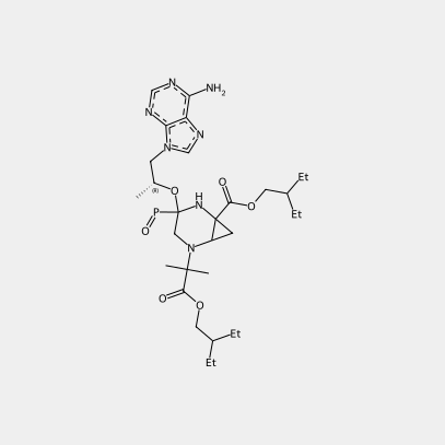 CCC(CC)COC(=O)C12CC1N(C(C)(C)C(=O)OCC(CC)CC)CC(O[C@H](C)Cn1cnc3c(N)ncnc31)(P=O)N2